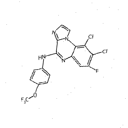 Fc1cc2nc(Nc3ccc(OC(F)(F)F)cc3)c3nccn3c2c(Cl)c1Cl